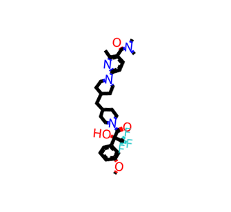 COc1cccc(C(O)(C(=O)N2CCC(CC3CCN(c4ccc(C(=O)N(C)C)c(C)n4)CC3)CC2)C(F)(F)F)c1